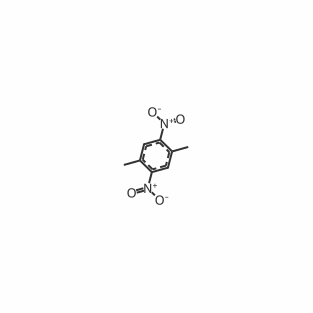 Cc1cc([N+](=O)[O-])c(C)cc1[N+](=O)[O-]